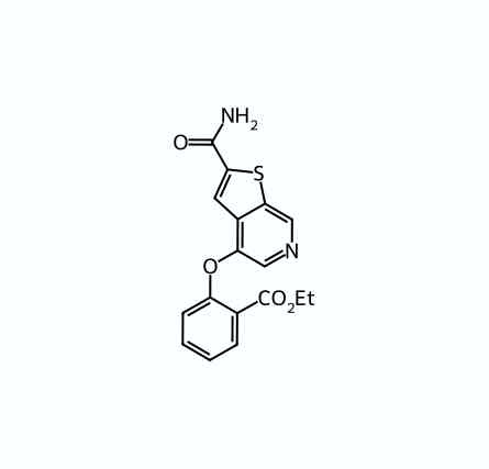 CCOC(=O)c1ccccc1Oc1cncc2sc(C(N)=O)cc12